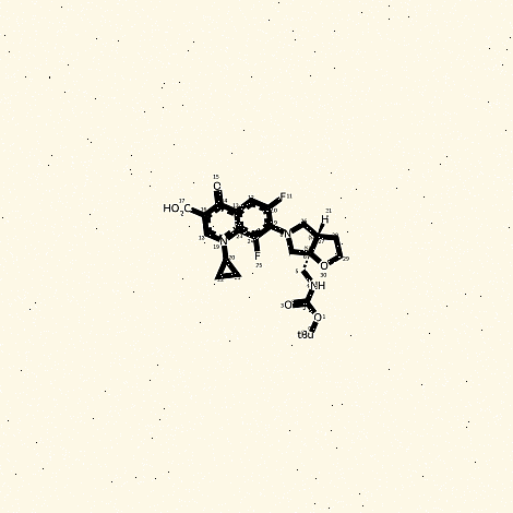 CC(C)(C)OC(=O)NC[C@]12CN(c3c(F)cc4c(=O)c(C(=O)O)cn(C5CC5)c4c3F)C[C@@H]1CCO2